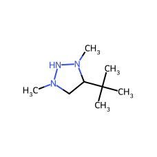 CN1CC(C(C)(C)C)N(C)N1